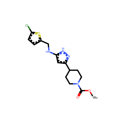 CC(C)(C)OC(=O)N1CCC(c2cc(NCc3ccc(Cl)s3)[nH]n2)CC1